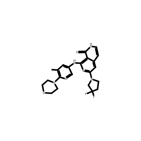 Cc1cc(Nc2nc(N3CCC(F)(F)C3)cc3cc[nH]c(=O)c23)cnc1N1CCOCC1